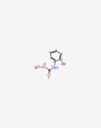 O=C(Nc1ccccc1Br)OBr